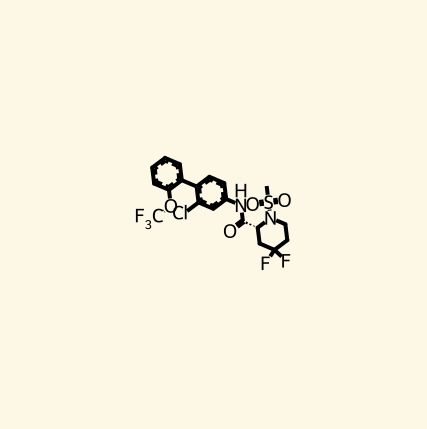 CS(=O)(=O)N1CCC(F)(F)C[C@@H]1C(=O)Nc1ccc(-c2ccccc2OC(F)(F)F)c(Cl)c1